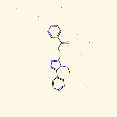 CCn1c(SCC(=O)c2cccnc2)nnc1-c1ccncc1